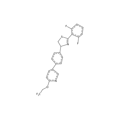 Fc1cccc(F)c1C1=NC(c2ccc(-c3ccc(OCC(F)(F)F)nc3)cc2)CS1